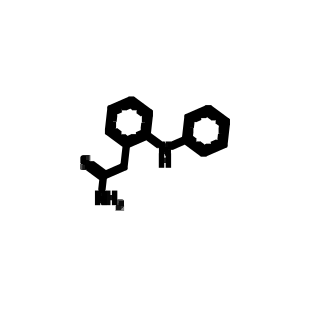 NC(=S)Cc1ccccc1Nc1ccccc1